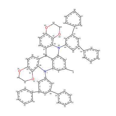 Cc1cc2c3c(c1)N(c1cc(-c4ccccc4)cc(-c4ccccc4)c1)c1c(ccc4c1OCCO4)B3c1ccc3c(c1N2c1cc(-c2ccccc2)cc(-c2ccccc2)c1)OCCO3